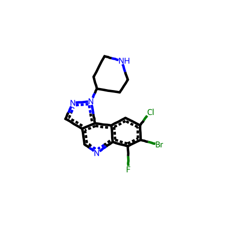 Fc1c(Br)c(Cl)cc2c1ncc1cnn(C3CCNCC3)c12